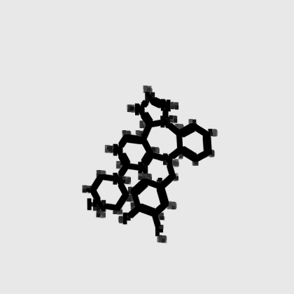 Fc1ccc(CN2c3ccccc3-n3nnnc3-c3cnc(N4CCNCC4)nc32)cc1F